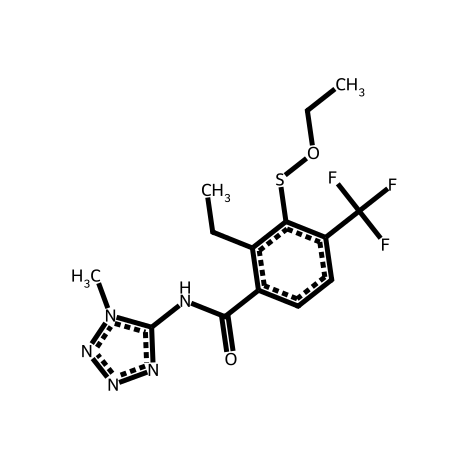 CCOSc1c(C(F)(F)F)ccc(C(=O)Nc2nnnn2C)c1CC